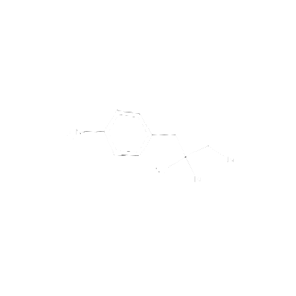 N#CC(Br)(CBr)Cc1ccc([N+](=O)[O-])cc1